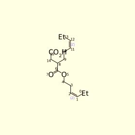 CC/C=C\CCOC(=O)C(CC/C=C\CC)CC(=O)O